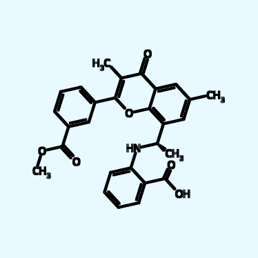 COC(=O)c1cccc(-c2oc3c([C@@H](C)Nc4ccccc4C(=O)O)cc(C)cc3c(=O)c2C)c1